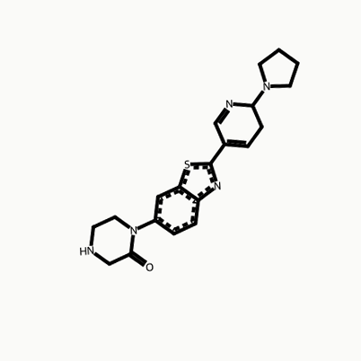 O=C1CNCCN1c1ccc2nc(C3=CCC(N4CCCC4)N=C3)sc2c1